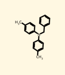 Cc1ccc(N(Cc2ccccc2)c2ccc(C)cc2)cc1